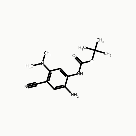 CN(C)c1cc(NC(=O)OC(C)(C)C)c(N)cc1C#N